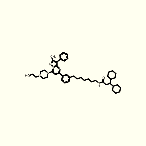 Cc1nn2c(N3CCN(CCO)CC3)cc(-c3cccc(CCCCCCCNC(=O)CC(C4CCCCC4)C4CCCCC4)c3)nc2c1-c1ccccc1